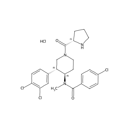 CN(C(=O)c1ccc(Cl)cc1)[C@@H]1CCN(C(=O)[C@@H]2CCCN2)C[C@H]1c1ccc(Cl)c(Cl)c1.Cl